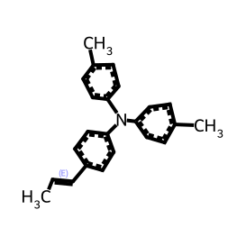 C/C=C/c1ccc(N(c2ccc(C)cc2)c2ccc(C)cc2)cc1